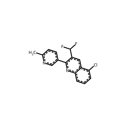 Cc1ccc(-c2nc3cccc(Cl)c3cc2C(F)F)cn1